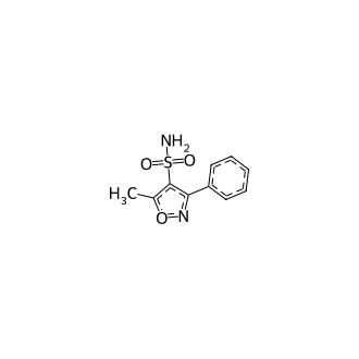 Cc1onc(-c2ccccc2)c1S(N)(=O)=O